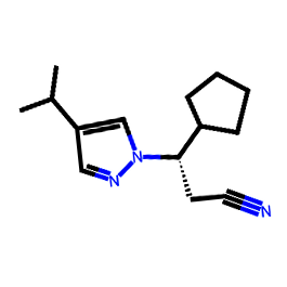 CC(C)c1cnn([C@@H](CC#N)C2CCCC2)c1